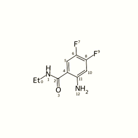 CCNC(=O)c1cc(F)c(F)cc1N